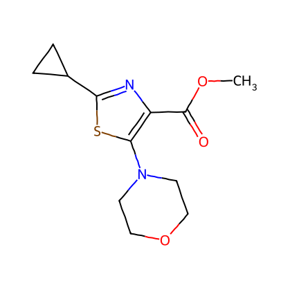 COC(=O)c1nc(C2CC2)sc1N1CCOCC1